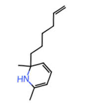 C=CCCCCC1(C)C=CC=C(C)N1